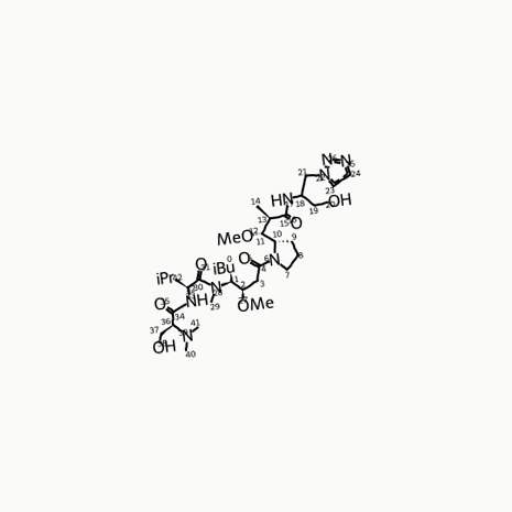 CC[C@H](C)[C@@H]([C@@H](CC(=O)N1CCC[C@H]1[C@H](OC)[C@@H](C)C(=O)NC(CO)Cn1ccnn1)OC)N(C)C(=O)[C@@H](NC(=O)[C@H](CO)N(C)C)C(C)C